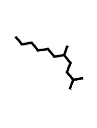 [CH2]C(C)CCC(C)CCCCCC